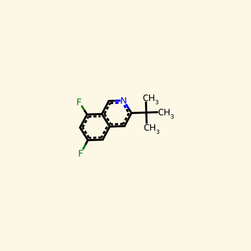 CC(C)(C)c1cc2cc(F)cc(F)c2cn1